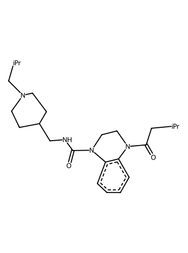 CC(C)CC(=O)N1CCN(C(=O)NCC2CCN(CC(C)C)CC2)c2ccccc21